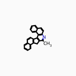 Cc1nc2ccc3ccccc3c2c2c1Cc1c-2ccc2ccccc12